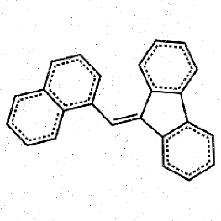 C(=C1c2ccccc2-c2ccccc21)c1cccc2ccccc12